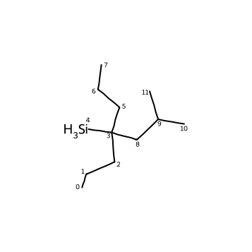 CCCC([SiH3])(CCC)CC(C)C